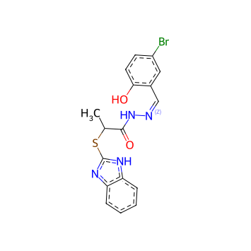 CC(Sc1nc2ccccc2[nH]1)C(=O)N/N=C\c1cc(Br)ccc1O